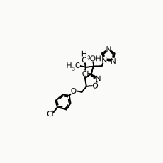 CC(C)(C)C(O)(Cn1cncn1)C1=NOC(COc2ccc(Cl)cc2)C1